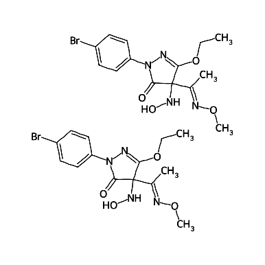 CCOC1=NN(c2ccc(Br)cc2)C(=O)C1(NO)/C(C)=N/OC.CCOC1=NN(c2ccc(Br)cc2)C(=O)C1(NO)/C(C)=N/OC